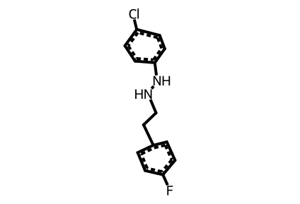 Fc1ccc(CCNNc2ccc(Cl)cc2)cc1